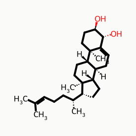 CC(C)=CCC[C@@H](C)[C@H]1CC[C@H]2[C@@H]3CC=C4[C@@H](O)[C@H](O)CC[C@]4(C)[C@H]3CC[C@]12C